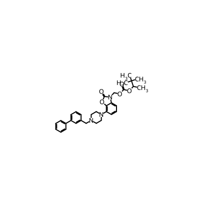 CC(OC(=O)OCn1c(=O)oc2c(N3CCN(Cc4cccc(-c5ccccc5)c4)CC3)cccc21)C(C)(C)C